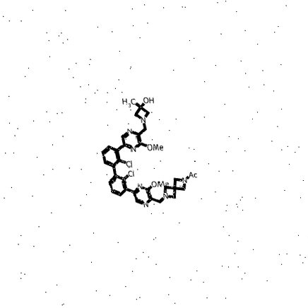 COc1nc(-c2cccc(-c3cccc(-c4cnc(CN5CC6(C5)CN(C(C)=O)C6)c(OC)n4)c3Cl)c2Cl)cnc1CN1CC(C)(O)C1